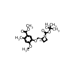 COC(=O)c1cc(OC[C@@H]2CCN2C(=O)OC(C)(C)C)c(OC)cc1C